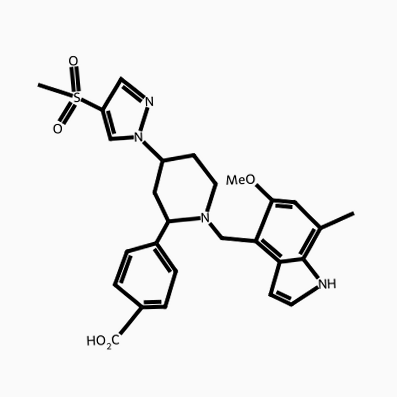 COc1cc(C)c2[nH]ccc2c1CN1CCC(n2cc(S(C)(=O)=O)cn2)CC1c1ccc(C(=O)O)cc1